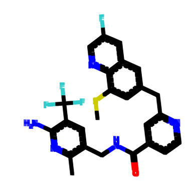 CSc1cc(Cc2cc(C(=O)NCc3cc(C(F)(F)F)c(N)nc3C)ccn2)cc2cc(F)cnc12